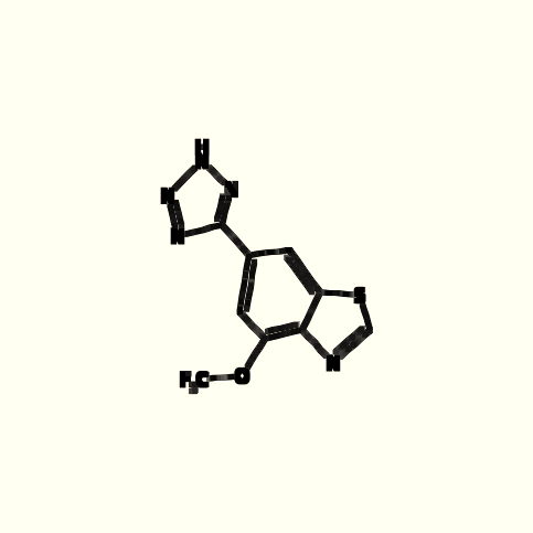 FC(F)(F)Oc1cc(-c2nn[nH]n2)cc2scnc12